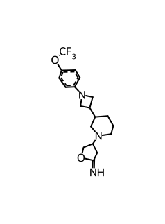 N=C1CC(N2CCCC(C3CN(c4ccc(OC(F)(F)F)cc4)C3)C2)CO1